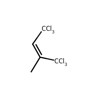 C/C(=C/C(Cl)(Cl)Cl)C(Cl)(Cl)Cl